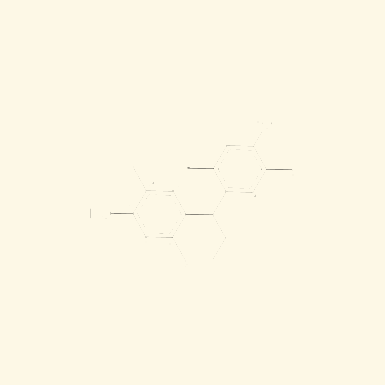 CCC(c1cc(C)c(O)cc1C)c1cc(C)c(O)cc1C